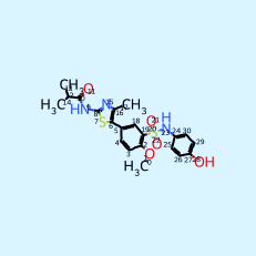 COc1ccc(-c2sc(NC(=O)C(C)C)nc2C)cc1S(=O)(=O)Nc1ccc(O)cc1